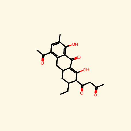 CCC1CC2Cc3c(C(C)=O)cc(C)c(O)c3C(=O)C2=C(O)C1C(=O)CC(C)=O